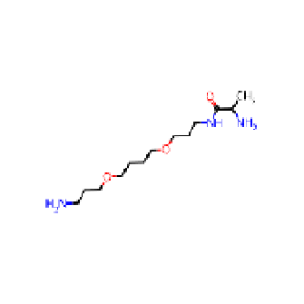 CC(N)C(=O)NCCCOCCCCOCCCN